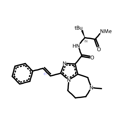 CNC(=O)[C@@H](NC(=O)c1nc(/C=C/c2ccccc2)n2c1CN(C)CCC2)C(C)(C)C